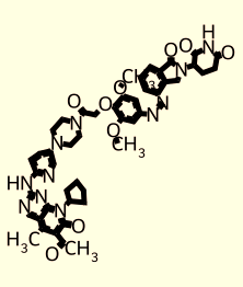 COc1cc(/N=N\c2cccc3c2CN(C2CCC(=O)NC2=O)C3=O)cc(OC)c1OCC(=O)N1CCN(c2ccc(Nc3ncc4c(C)c(C(C)=O)c(=O)n(C5CCCC5)c4n3)nc2)CC1